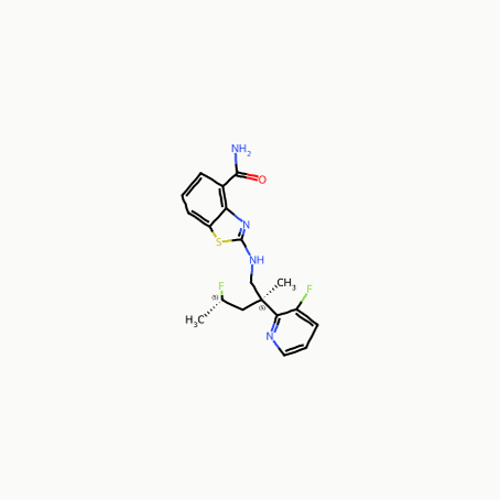 C[C@H](F)C[C@@](C)(CNc1nc2c(C(N)=O)cccc2s1)c1ncccc1F